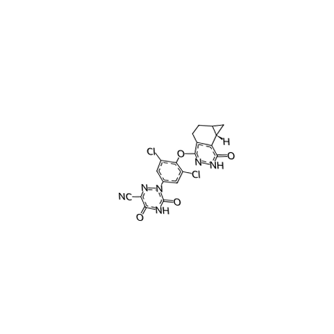 N#Cc1nn(-c2cc(Cl)c(Oc3n[nH]c(=O)c4c3CCC3C[C@H]43)c(Cl)c2)c(=O)[nH]c1=O